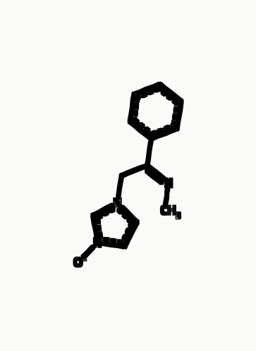 CN=C(Cn1cc[n+]([O-])c1)c1ccccc1